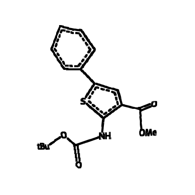 COC(=O)c1cc(-c2ccccc2)sc1NC(=O)OC(C)(C)C